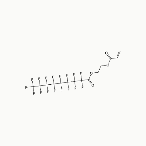 C=CC(=O)OCCOC(=O)C(F)(F)C(F)(F)C(F)(F)C(F)(F)C(F)(F)C(F)(F)C(F)(F)C(F)(F)F